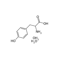 NC(Cc1ccc(O)cc1)C(=O)O.O.O